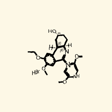 Br.CCOc1cc2c(cc1OC)C(N1C=C(OC)NC=C1OC)=N[C@@H]1CC[C@@H](O)C[C@H]21